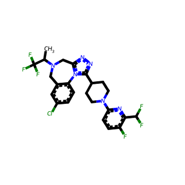 CC(N1Cc2cc(Cl)ccc2-n2c(nnc2C2CCN(c3ccc(F)c(C(F)F)n3)CC2)C1)C(F)(F)F